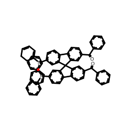 O=C(c1ccccc1)c1ccc2c(c1)C1(c3cc(C(=O)c4ccccc4)ccc3-c3ccc(N(c4ccccc4)c4ccccc4)cc31)c1cc(N(C3=CC=CCC3)c3ccccc3)ccc1-2